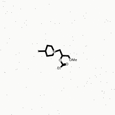 CCC(=O)OC(COC)CN1CCC(I)CC1